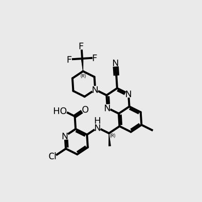 Cc1cc([C@@H](C)Nc2ccc(Cl)nc2C(=O)O)c2nc(N3CCC[C@@H](C(F)(F)F)C3)c(C#N)nc2c1